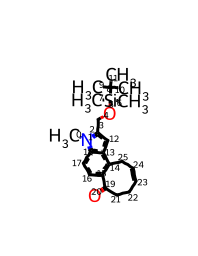 Cn1c(CO[Si](C)(C)C(C)(C)C)cc2c3c(ccc21)C(=O)CCC=CC3